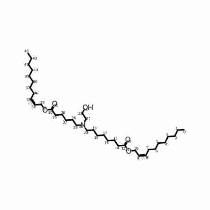 CCCCCCCC/C=C\COC(=O)CCCCCCCN(CCO)CCCCCC(=O)OC/C=C\CCCCCCCC